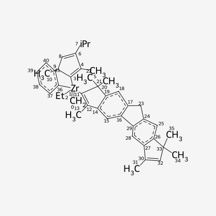 [CH2]=[Zr]([CH2]C)([C]1=C(C)C(C(C)C)=CC1C)([C]1=C(C)c2cc3c(cc2C1(C)C)Cc1cc2c(cc1-3)C(C)=CC2(C)C)[c]1ccccc1